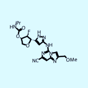 COCc1cn2c(Nc3cc([C@@H]4OC[C@H](OC(=O)NC(C)C)[C@H]4F)[nH]n3)nc(C#N)cc2n1